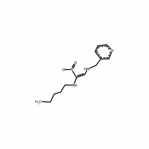 CCCCCNC(=CNCc1cccnc1)[N+](=O)[O-]